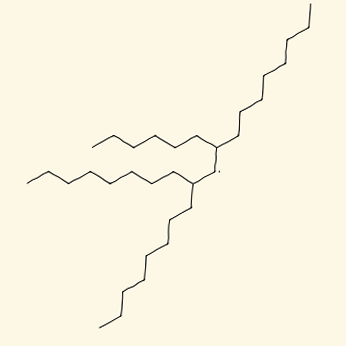 CCCCCCCCC([CH]C(CCCCCCCC)CCCCCCCC)CCCCCC